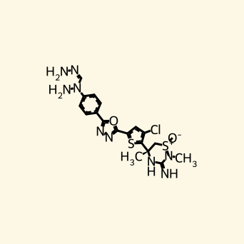 CN1C(=N)N[C@](C)(c2sc(-c3nnc(-c4ccc(N(N)/C=N\N)cc4)o3)cc2Cl)C[S+]1[O-]